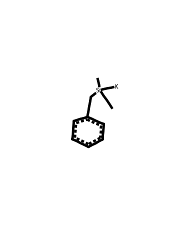 C[Si](C)([K])Cc1ccccc1